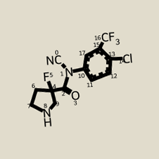 N#CN(C(=O)C1(F)CCNC1)c1ccc(Cl)c(C(F)(F)F)c1